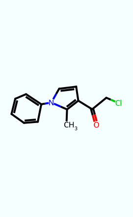 Cc1c(C(=O)CCl)ccn1-c1ccccc1